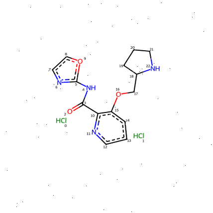 Cl.Cl.O=C(Nc1ncco1)c1ncccc1OCC1CCCN1